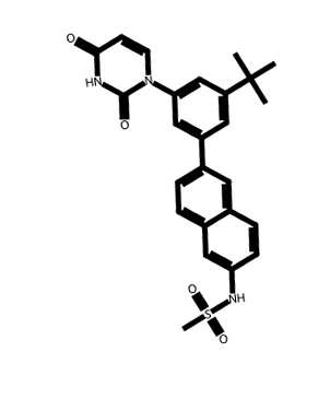 CC(C)(C)c1cc(-c2ccc3cc(NS(C)(=O)=O)ccc3c2)cc(-n2ccc(=O)[nH]c2=O)c1